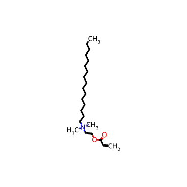 C=CC(=O)OCC[N+](C)(C)CCCCCCCCCCCCCCCC